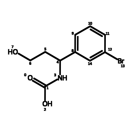 O=C(O)NC(CCO)c1cccc(Br)c1